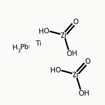 [O]=[Zr]([OH])[OH].[O]=[Zr]([OH])[OH].[PbH2].[Ti]